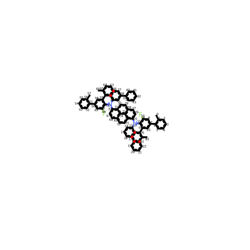 Cc1ccccc1-c1cc(F)c(N(c2cccc(-c3ccccc3)c2)c2ccc3ccc4c(N(c5cccc(-c6ccccc6)c5)c5c(F)cc(-c6ccccc6C)cc5-c5ccccc5C)ccc5ccc2c3c54)c(-c2ccccc2C)c1